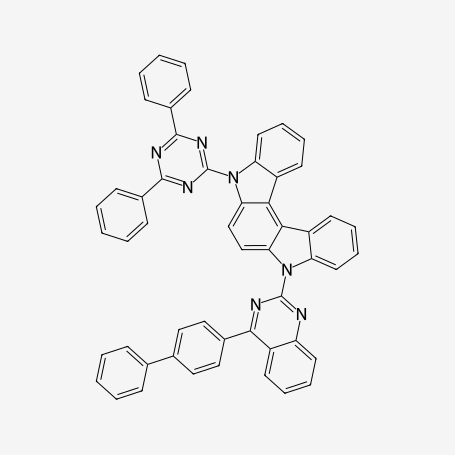 c1ccc(-c2ccc(-c3nc(-n4c5ccccc5c5c6c7ccccc7n(-c7nc(-c8ccccc8)nc(-c8ccccc8)n7)c6ccc54)nc4ccccc34)cc2)cc1